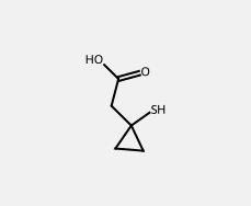 O=C(O)CC1(S)CC1